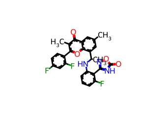 Cc1cc([C@@H](C)Nc2cccc(F)c2-c2noc(=O)[nH]2)c2oc(-c3ccc(F)cc3F)c(C)c(=O)c2c1